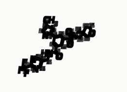 Cc1cnc(-c2cc(C(=O)NCc3cnc(C(F)(F)F)nc3)cc(S(=O)(=O)N3CC4(CCOC4)C3)c2)s1